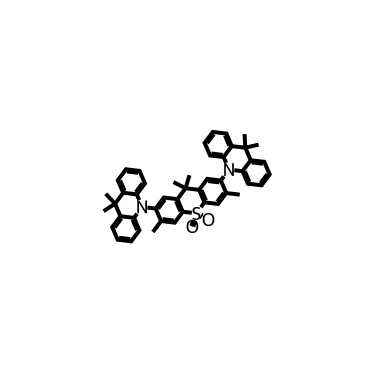 Cc1cc2c(cc1N1c3ccccc3C(C)(C)c3ccccc31)C(C)(C)c1cc(N3c4ccccc4C(C)(C)c4ccccc43)c(C)cc1S2(=O)=O